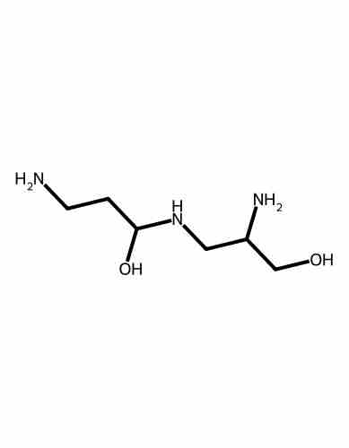 NCCC(O)NCC(N)CO